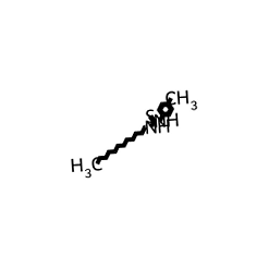 CCCCCCCCCCCCNC(=S)Nc1ccc(C)cc1